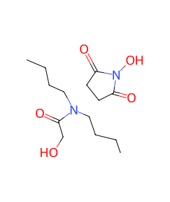 CCCCN(CCCC)C(=O)CO.O=C1CCC(=O)N1O